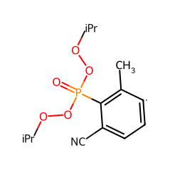 Cc1[c]ccc(C#N)c1P(=O)(OOC(C)C)OOC(C)C